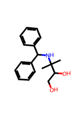 CC(C)(NC(c1ccccc1)c1ccccc1)C(O)CO